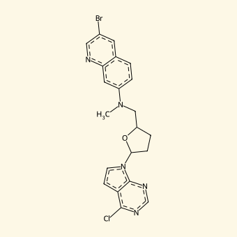 CN(CC1CCC(n2ccc3c(Cl)ncnc32)O1)c1ccc2cc(Br)cnc2c1